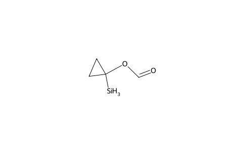 O=COC1([SiH3])CC1